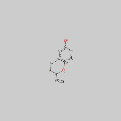 CCOC(=O)C1CCc2cc(O)ccc2O1